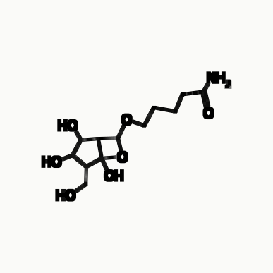 NC(=O)CCCCOC1OC2(O)C(CO)C(O)C(O)C12